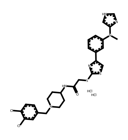 CN(c1cccc(-c2csc(SCC(=O)NC3CCN(Cc4ccc(Cl)c(Cl)c4)CC3)n2)c1)c1c[nH]cn1.Cl.Cl